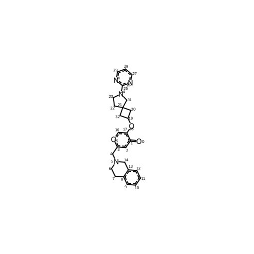 O=c1cc(CN2CCc3ccccc3C2)occ1OC1CC2(CCN(c3ncccn3)C2)C1